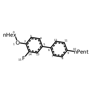 CCCCCCOc1ccc(-c2ccc(CCCCC)cc2)cc1F